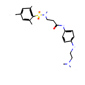 COc1cc(C)c(S(=O)(=O)N(C)CCC(=O)Nc2ccc(NCCN(C)C)cc2)c(C)c1